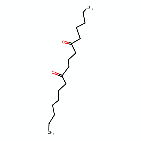 CCCCCCCC(=O)CCCC(=O)CCCCC